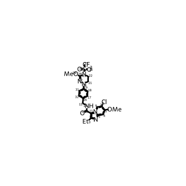 CCc1nc2cc(OC)c(Cl)cn2c1C(=O)NCc1ccc(N2CCN(S(=O)(=O)C(F)(F)F)C(OC)=N2)cc1